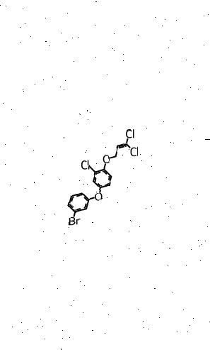 ClC(Cl)=CCOc1ccc(Oc2cccc(Br)c2)cc1Cl